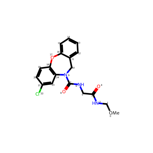 COCNC(=O)CNC(=O)N1Cc2ccccc2Oc2ccc(Cl)cc21